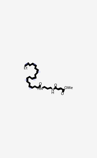 CC/C=C\C/C=C\C/C=C\C/C=C\C/C=C\C/C=C\CCC(=O)NCCCNC(=O)C=CC(=O)OC